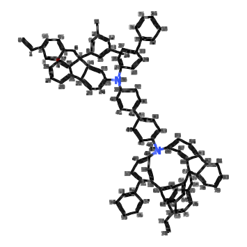 C=Cc1ccc(CC2(c3cc(C)cc(C)c3)c3ccccc3-c3ccc(N(c4ccc(-c5ccccc5)cc4)c4ccc(-c5ccc(N6c7ccc(-c8ccccc8)c(c7)-c7cc(C)cc(c7)C7(Cc8ccc(C=C)cc8)c8ccccc8-c8ccc6cc87)cc5)cc4)cc32)cc1